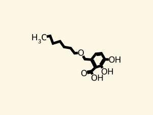 CCCCCCCOCc1ccc(O)c(O)c1C(=O)O